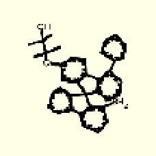 Bc1cccc2c1C1(c3ccccc3-2)c2cc(OC(C)(C)C(C)(C)O)ccc2-c2c(-c3ccccc3)cccc21